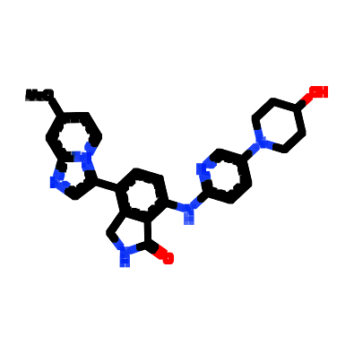 COc1ccn2c(-c3ccc(Nc4ccc(N5CCC(O)CC5)cn4)c4c3CNC4=O)cnc2c1